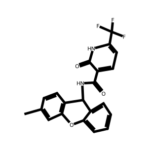 Cc1ccc2c(c1)Oc1ccccc1C2NC(=O)c1ccc(C(F)(F)F)[nH]c1=O